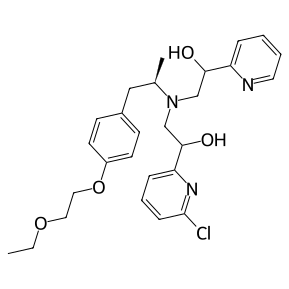 CCOCCOc1ccc(C[C@@H](C)N(CC(O)c2ccccn2)CC(O)c2cccc(Cl)n2)cc1